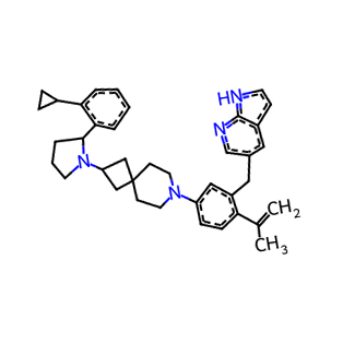 C=C(C)c1ccc(N2CCC3(CC2)CC(N2CCCC2c2ccccc2C2CC2)C3)cc1Cc1cnc2[nH]ccc2c1